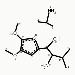 CC(C)N.COc1cc(C(O)C(N)C(C)C)sc1OC